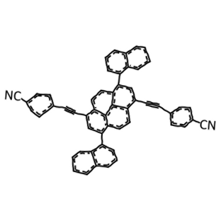 N#Cc1ccc(C#Cc2cc(-c3cccc4ccccc34)c3ccc4c(C#Cc5ccc(C#N)cc5)cc(-c5cccc6ccccc56)c5ccc2c3c45)cc1